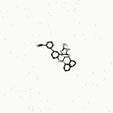 N#Cc1cccc(-c2ccc3c(c2)[C@]2(N=C(N)NC2=O)C(Cc2ccccc2)[C@@H](c2ccccc2)O3)c1